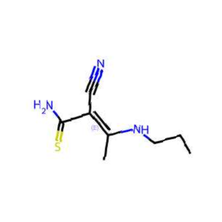 CCCN/C(C)=C(\C#N)C(N)=S